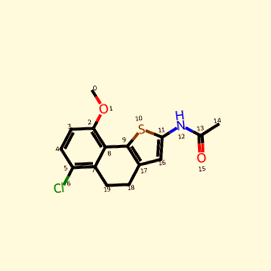 COc1ccc(Cl)c2c1-c1sc(NC(C)=O)cc1CC2